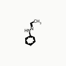 CC=NNc1cc[c]cc1